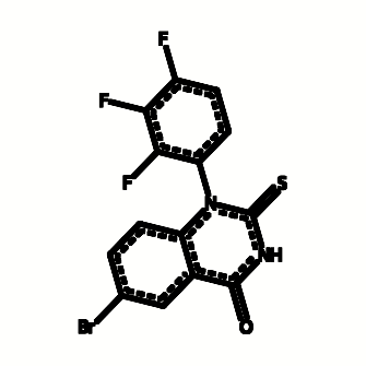 O=c1[nH]c(=S)n(-c2ccc(F)c(F)c2F)c2ccc(Br)cc12